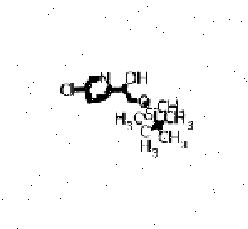 CC(C)(C)[Si](C)(C)OCC(O)c1ccc(Cl)cn1